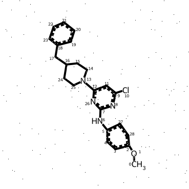 COc1ccc(Nc2nc(Cl)cc(N3CCC(Cc4ccccc4)CC3)n2)cc1